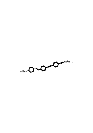 CCCCCC#Cc1ccc(C#Cc2ccc(CC[C@H]3CC[C@H](CCCCCC)CC3)cc2)cc1